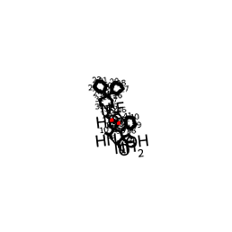 CCC1(C(=O)O)C(N)NC(C)C(CCCN2CCC(c3ccccc3)(c3ccccc3)CC2)(C(=O)O)C1c1ccccc1OC(F)F